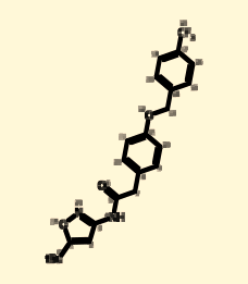 CC(C)(C)c1cc(NC(=O)Cc2ccc(OCc3ccc(C(F)(F)F)cc3)cc2)no1